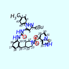 Cc1ccc(-n2nc(C(C)(C)C)cc2NC(=O)Nc2cccc(CC3CCN(S(=O)(=O)C4=CC=CN5SNC=C45)CC3)c2)cc1